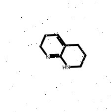 C1=C2CCCNC2=NCC1